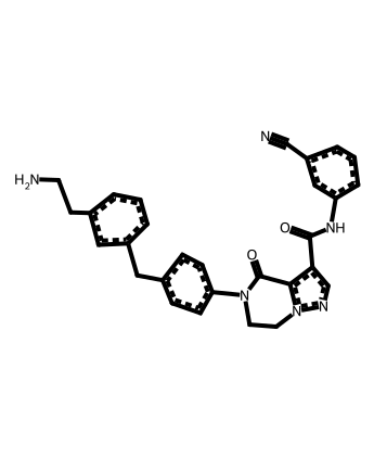 N#Cc1cccc(NC(=O)c2cnn3c2C(=O)N(c2ccc(Cc4cccc(CCN)c4)cc2)CC3)c1